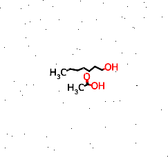 CC(=O)O.CCCCCCCO